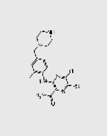 CCc1nc(C(N)=O)c(Nc2ccc(CN3CCNCC3)cc2C)nc1Cl